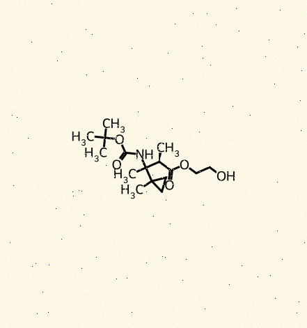 C[C@@H](C(=O)OCCO)C(C)(NC(=O)OC(C)(C)C)C1(C)CC1